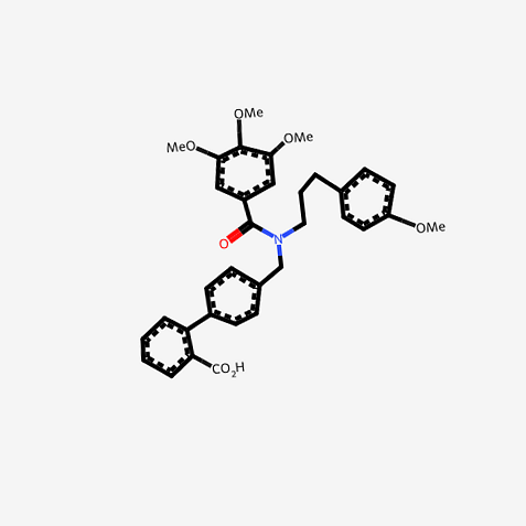 COc1ccc(CCCN(Cc2ccc(-c3ccccc3C(=O)O)cc2)C(=O)c2cc(OC)c(OC)c(OC)c2)cc1